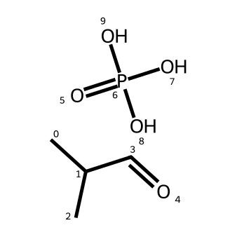 CC(C)C=O.O=P(O)(O)O